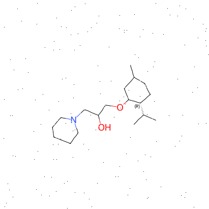 CC1CC[C@H](C(C)C)C(OCC(O)CN2CCCCC2)C1